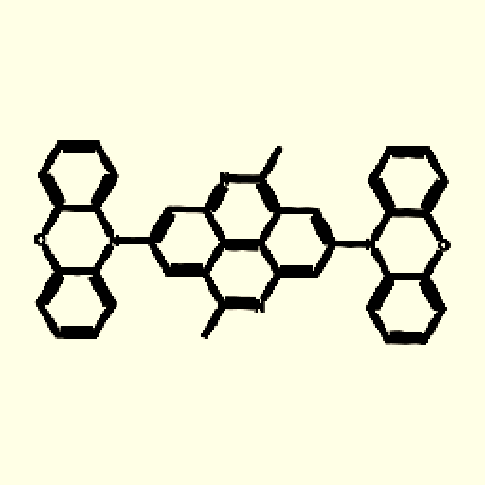 Cc1nc2cc(N3c4ccccc4Oc4ccccc43)cc3c(C)nc4cc(N5c6ccccc6Oc6ccccc65)cc1c4c23